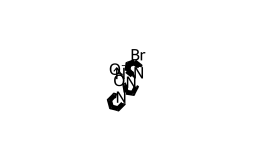 O=[N+]([O-])c1cc(Br)cnc1N1CCC(N2CCCCC2)C1